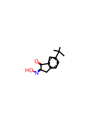 CC(C)(C)c1ccc2c(c1)C(=O)C(=NO)C2